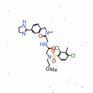 COCCN(CC(=O)NCC(=O)N(C)Cc1ccc(C2=NCCN2)cc1)S(=O)(=O)c1ccc(Cl)c(C)c1Cl